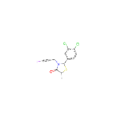 CC1SC(c2ccc(Cl)c(Cl)c2)N(CC#CI)C1=O